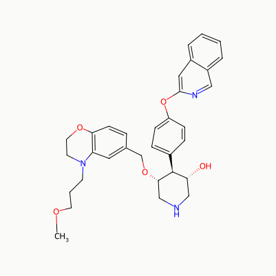 COCCCN1CCOc2ccc(CO[C@H]3CNC[C@@H](O)[C@@H]3c3ccc(Oc4cc5ccccc5cn4)cc3)cc21